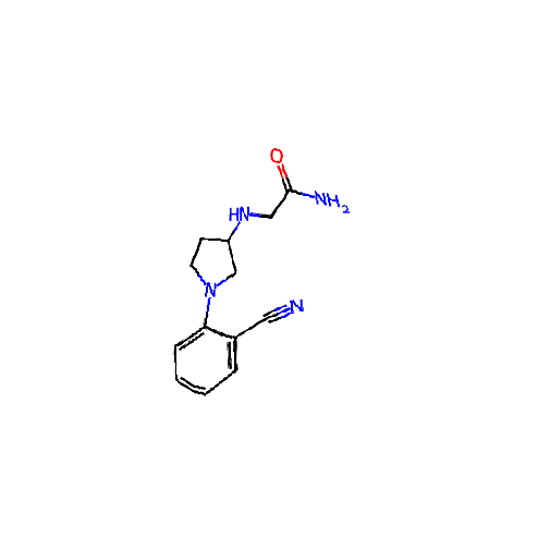 N#Cc1ccccc1N1CCC(NCC(N)=O)C1